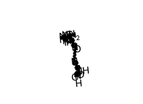 Cc1nc(-c2c(-c3nn(C(C)C)c4ncnc(N)c34)noc2C2CC2)ccc1C1CCN(C(=O)CCCCCCCN2CCC(c3ccc(NC4CCC(=O)NC4=O)cc3)CC2)CC1